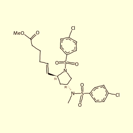 COC(=O)CCCC=C[C@@H]1C[C@@H](N(C)S(=O)(=O)c2ccc(Cl)cc2)CN1S(=O)(=O)c1ccc(Cl)cc1